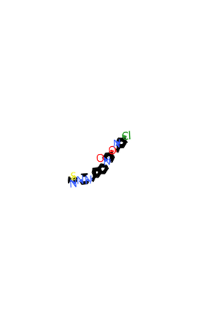 O=c1cc(OCc2ccc(Cl)cn2)ccn1C1=Cc2ccc(CN3CCN(c4nccs4)CC3)cc2CC1